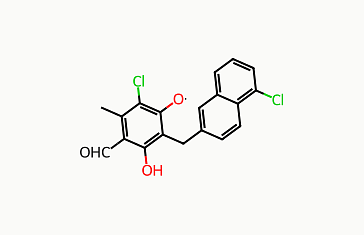 Cc1c(Cl)c([O])c(Cc2ccc3c(Cl)cccc3c2)c(O)c1C=O